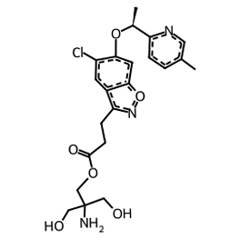 Cc1ccc([C@H](C)Oc2cc3onc(CCC(=O)OCC(N)(CO)CO)c3cc2Cl)nc1